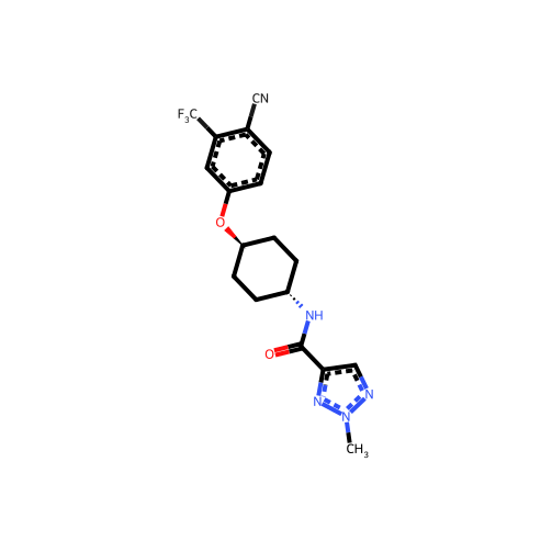 Cn1ncc(C(=O)N[C@H]2CC[C@H](Oc3ccc(C#N)c(C(F)(F)F)c3)CC2)n1